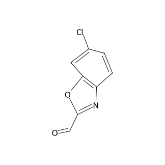 O=Cc1nc2ccc(Cl)cc2o1